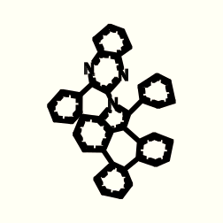 c1ccc(-c2nc3ccccc3nc2-n2c(-c3ccccc3)c3c4c(cccc42)-c2ccccc2-c2ccccc2-3)cc1